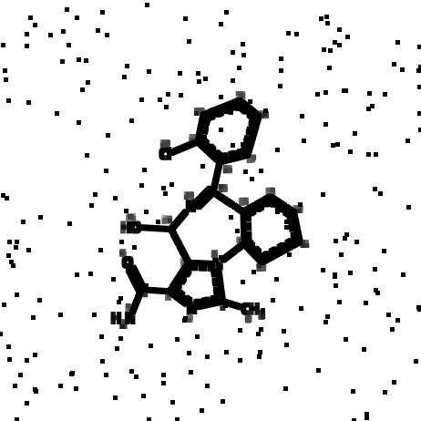 Cc1nc(C(N)=O)c2n1-c1ccccc1C(c1ccccc1Cl)=NC2O